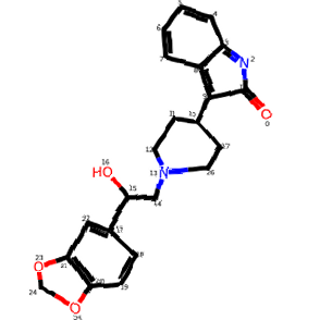 O=C1N=c2ccccc2=C1C1CCN(CC(O)c2ccc3c(c2)OCO3)CC1